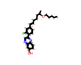 CCCCCOC(C)CCCC=Cc1ccc(-c2cnc3cc(O)ccc3n2)c(F)c1